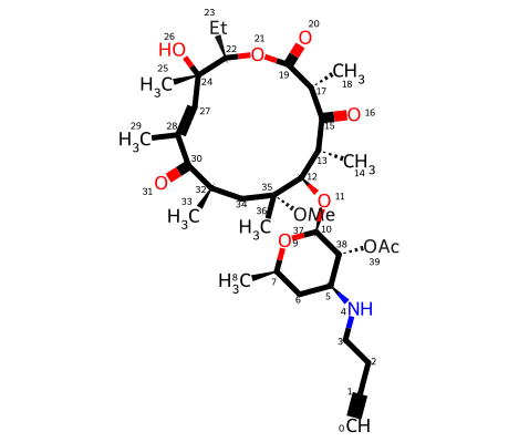 C#CCCN[C@H]1C[C@@H](C)O[C@@H](O[C@@H]2[C@@H](C)C(=O)[C@@H](C)C(=O)O[C@H](CC)[C@@](C)(O)/C=C(\C)C(=O)[C@H](C)C[C@@]2(C)OC)[C@@H]1OC(C)=O